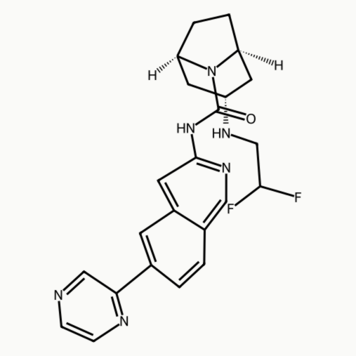 O=C(Nc1cc2cc(-c3cnccn3)ccc2cn1)N1[C@@H]2CC[C@H]1C[C@H](NCC(F)F)C2